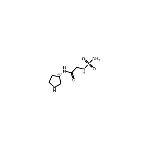 NS(=O)(=O)NCC(=O)N[C@H]1CCNC1